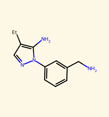 [CH2]Cc1cnn(-c2cccc(CN)c2)c1N